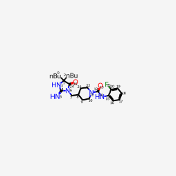 CCCCC1(CCCC)NC(=N)N(CC2CCN(C(=O)Nc3ccccc3F)CC2)C1=O